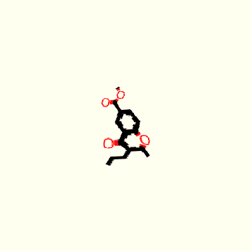 CCCc1c(C)oc2ccc(C(=O)OC)cc2c1=O